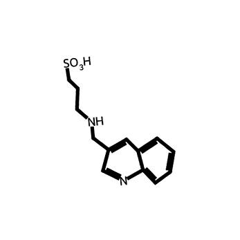 O=S(=O)(O)CCCNCc1cnc2ccccc2c1